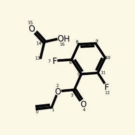 C=COC(=O)c1c(F)cccc1F.CC(=O)O